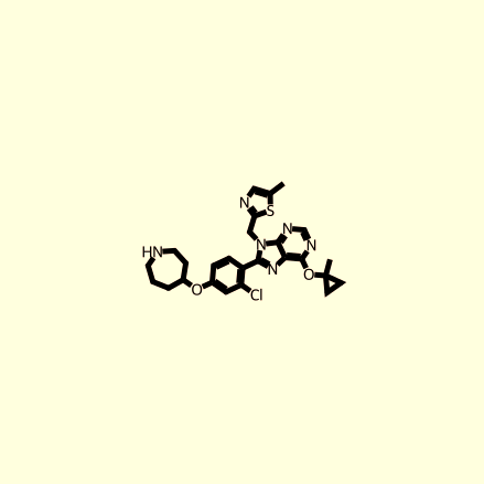 Cc1cnc(Cn2c(-c3ccc(OC4CCCNCC4)cc3Cl)nc3c(OC4(C)CC4)ncnc32)s1